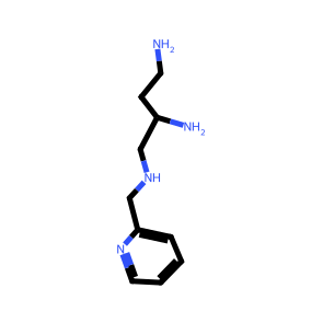 NCCC(N)CNCc1ccccn1